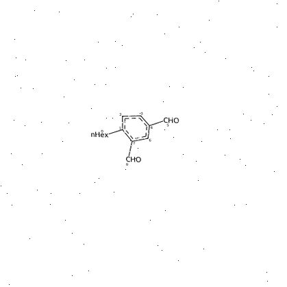 CCCCCCc1ccc(C=O)cc1C=O